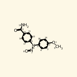 COc1ccc(N(N=O)c2ccc(C(N)=O)cc2)cc1